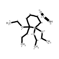 CCCC1(OCC)CCCC[Si]1(OCC)OCC.N=C=O